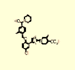 Cc1cc(C(O)N2CCCCC2)ccc1COc1ccc(Cl)cc1-c1csc(N2CCC(C(=O)O)C(C)C2)n1